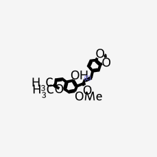 COc1cc2c(c(O)c1C(=O)/C=C/c1ccc3c(c1)OCO3)C=CC(C)(C)O2